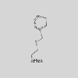 CCCCCCCCSCc1cc[c]cc1